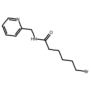 O=C(CCCCCBr)NCc1ccccn1